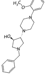 COc1ccccc1N1CCN([C@@H]2CN(Cc3ccccc3)C[C@H]2O)CC1